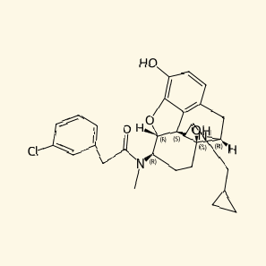 CN(C(=O)Cc1cccc(Cl)c1)[C@@H]1CC[C@@]2(O)[C@H]3Cc4ccc(O)c5c4[C@@]2(CCN3CC2CC2)[C@H]1O5